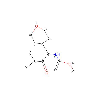 C=C(NC(C(=O)C(C)C)C1CCOCC1)OC